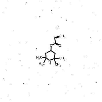 C=CC(=O)OC1CC(C)(C)NC(C)(C)C1